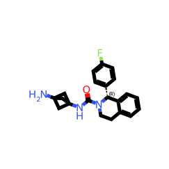 NC12CC(NC(=O)N3CCc4ccccc4[C@H]3c3ccc(F)cc3)(C1)C2